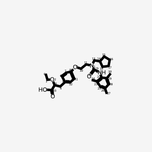 CCOC(Cc1ccc(OCCN(CC2CCCC2)C(=O)Nc2c(C)cc(C)cc2C)cc1)C(=O)O